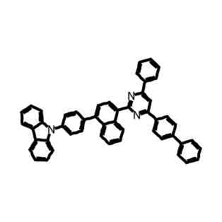 c1ccc(-c2ccc(-c3cc(-c4ccccc4)nc(-c4ccc(-c5ccc(-n6c7ccccc7c7ccccc76)cc5)c5ccccc45)n3)cc2)cc1